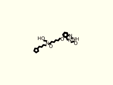 O=C1CN2Cc3c(cccc3OCCCCCC(=O)N(CCO)CCCCC3CCCC3)N=C2N1